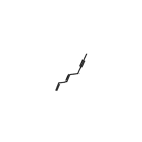 C=CC=C[CH]C#CC